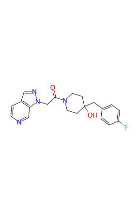 O=C(Cn1ncc2ccncc21)N1CCC(O)(Cc2ccc(F)cc2)CC1